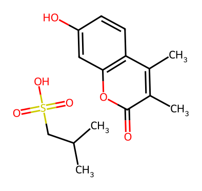 CC(C)CS(=O)(=O)O.Cc1c(C)c2ccc(O)cc2oc1=O